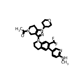 CNc1ccc(-c2cc3c(cc2C(F)F)N(c2nn(C4CCOCC4)c4c2CN(C(C)=O)CC4)CCC3)cn1